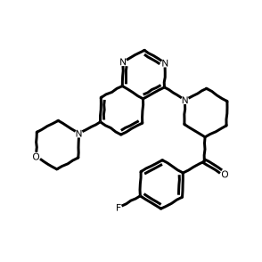 O=C(c1ccc(F)cc1)C1CCCN(c2ncnc3cc(N4CCOCC4)ccc23)C1